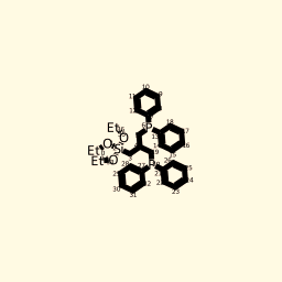 CCO[Si](CC(CP(c1ccccc1)c1ccccc1)CP(c1ccccc1)c1ccccc1)(OCC)OCC